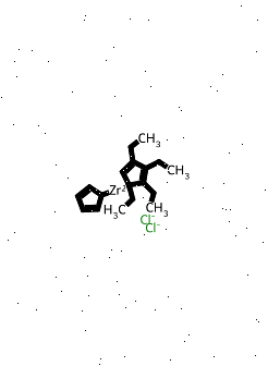 CCC1=C[C](CC)([Zr+2][CH]2C=CC=C2)C(CC)=C1CC.[Cl-].[Cl-]